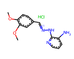 COc1ccc(/C=N/Nc2ncccc2N)cc1OC.Cl